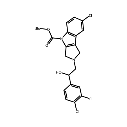 CC(C)(C)OC(=O)n1c2c(c3cc(Cl)ccc31)CN(CC(O)c1ccc(Cl)c(Cl)c1)C2